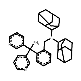 PC(c1cccnc1)(c1cccnc1)c1ccccc1CP(C1C2CC3CC(C2)CC1C3)C1C2CC3CC(C2)CC1C3